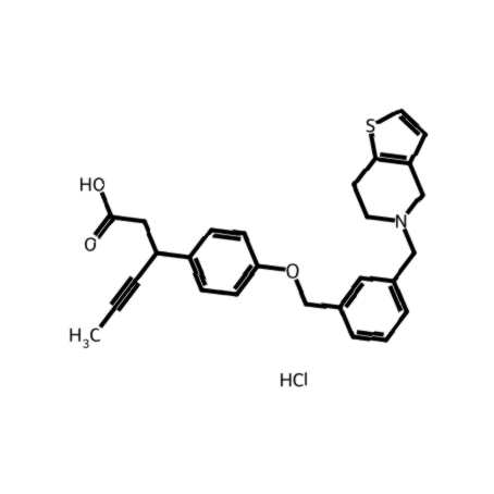 CC#CC(CC(=O)O)c1ccc(OCc2cccc(CN3CCc4sccc4C3)c2)cc1.Cl